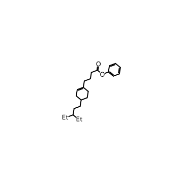 CCC(CC)CCC1CC=C(CCCC(=O)Oc2ccccc2)CC1